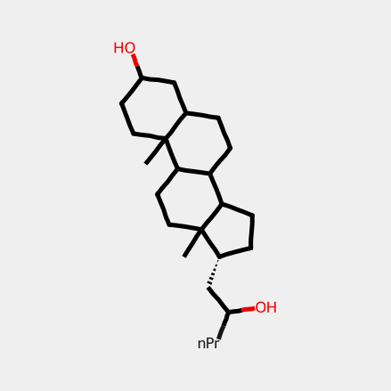 CCCC(O)C[C@H]1CCC2C3CCC4CC(O)CCC4(C)C3CCC21C